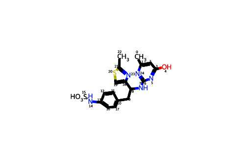 Cc1cc(O)nc(NC(Cc2[c]cc(NS(=O)(=O)O)cc2)c2csc(C)n2)n1